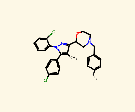 Cc1c(C2CN(Cc3ccc(C(F)(F)F)cc3)CCO2)nn(-c2ccccc2Cl)c1-c1ccc(Cl)cc1